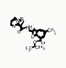 Cc1cc(C(=O)OC(C)C(F)(F)F)c2oc(CNC(=O)c3cnn4cccnc34)cc2c1